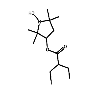 CCC(CI)C(=O)OC1CC(C)(C)N(O)C1(C)C